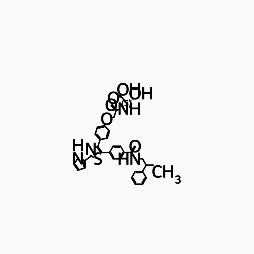 CCC(CNC(=O)c1ccc(-c2sc(-c3ccc[nH]3)nc2-c2ccc(OCC(=O)N[C@@H](CO)C(=O)O)cc2)cc1)c1ccccc1